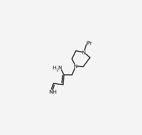 CC(C)N1CCN(C/C(N)=C/C=N)CC1